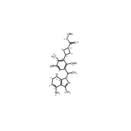 COc1c(C(C)n2nc(C)c3c2NCN=C3N)cc(Cl)c(C)c1C1CN(C(=O)OC(C)(C)C)C1